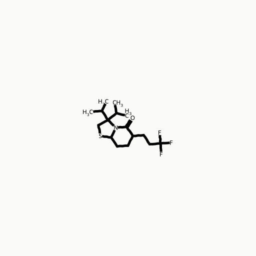 CC(C)C1(C(C)C)CSC2CCC(CCC(F)(F)F)C(=O)N21